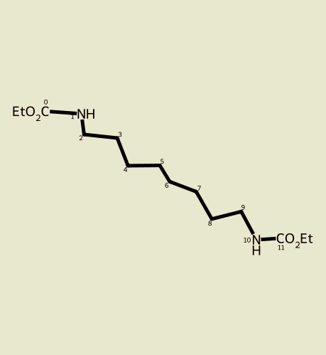 CCOC(=O)NCCCCCCCCNC(=O)OCC